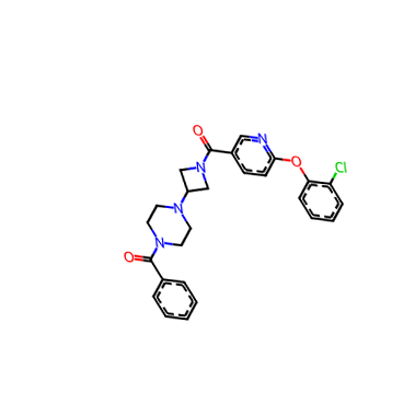 O=C(c1ccccc1)N1CCN(C2CN(C(=O)c3ccc(Oc4ccccc4Cl)nc3)C2)CC1